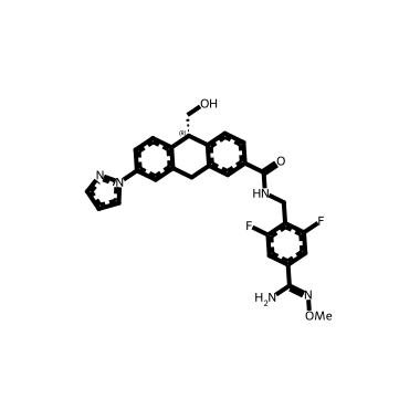 CON=C(N)c1cc(F)c(CNC(=O)c2ccc3c(c2)Cc2cc(-n4cccn4)ccc2[C@@H]3CO)c(F)c1